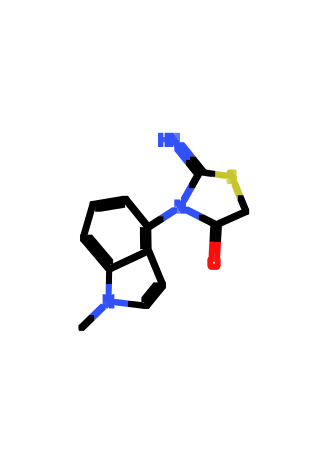 Cn1ccc2c(N3C(=N)SCC3=O)cccc21